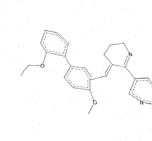 CCOc1ccccc1-c1ccc(OC)c(C=C2CCCN=C2c2cccnc2)c1